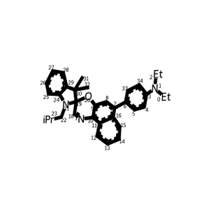 CCN(CC)c1ccc(-c2cc3c(c4ccccc24)N=CC2(O3)N(CC(C)C)c3ccccc3C2(C)C)cc1